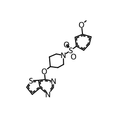 COc1cccc(S(=O)(=O)N2CCC(Oc3ncnc4ccsc34)CC2)c1